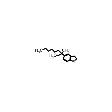 CCCCCCC(C)(CC)c1ccc2c(c1)CCS2